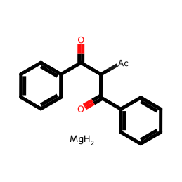 CC(=O)C(C(=O)c1ccccc1)C(=O)c1ccccc1.[MgH2]